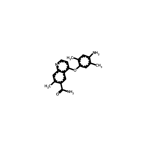 Cc1cc(Oc2ccnc3cc(C)c(C(N)=O)cc23)c(C)cc1N